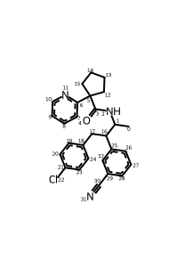 CC(NC(=O)C1(c2ccccn2)CCCC1)C(Cc1ccc(Cl)cc1)c1cccc(C#N)c1